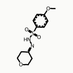 COc1ccc(S(=O)(=O)NN=C2CCOCC2)cc1